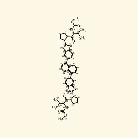 COC(=O)N[C@H](C(=O)C1CCCC1c1nc2cc(-c3cccc4c(-c5ccc6[nH]c([C@@H]7CCCN7C(=O)[C@@H](NC(=O)OC)C(C)C)nc6c5)cccc34)ccc2[nH]1)C(C)C